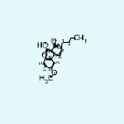 CCCCn1ccc(-c2cccc(OC)c2)c(C(=O)O)c1=O